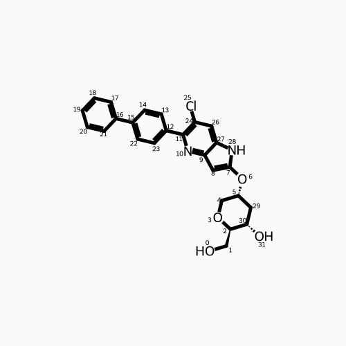 OC[C@H]1OC[C@H](Oc2cc3nc(-c4ccc(-c5ccccc5)cc4)c(Cl)cc3[nH]2)C[C@@H]1O